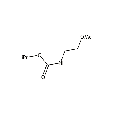 COCCNC(=O)OC(C)C